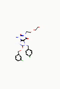 Cn1c2c(c(=O)n(CCOCCO)c1=O)N(Cc1ccc(Cl)cc1)C(OCc1cccc(Cl)c1)N2